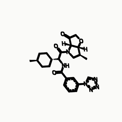 C[C@H]1CN(C(=O)C(NC(=O)c2cccc(-n3cnnn3)c2)[C@H]2CC[C@H](C)CC2)[C@@H]2C(=O)CO[C@@H]21